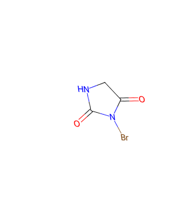 O=C1CNC(=O)N1Br